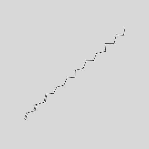 [C]=CC=CC=CCCCCCCCCCCCCCCCC